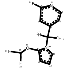 [2H]C([2H])(c1ccnc(F)c1)n1cccc1OC(F)F